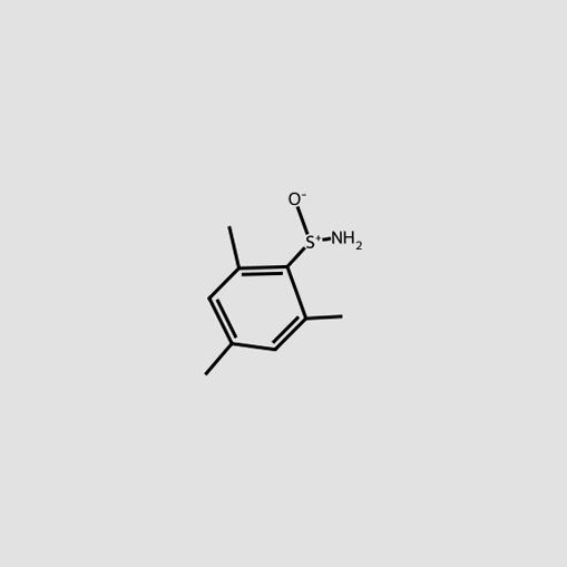 Cc1cc(C)c([S+](N)[O-])c(C)c1